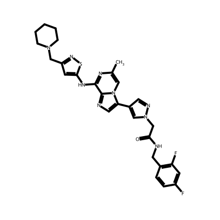 Cc1cn2c(-c3cnn(CC(=O)NCc4ccc(F)cc4F)c3)cnc2c(Nc2cc(CN3CCCCC3)ns2)n1